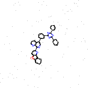 c1ccc(-c2nc(-c3ccccc3)nc(-c3cccc(-c4cnc(-c5ccc6oc7ccccc7c6n5)c5ncccc45)c3)n2)cc1